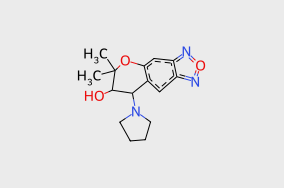 CC1(C)Oc2cc3nonc3cc2C(N2CCCC2)C1O